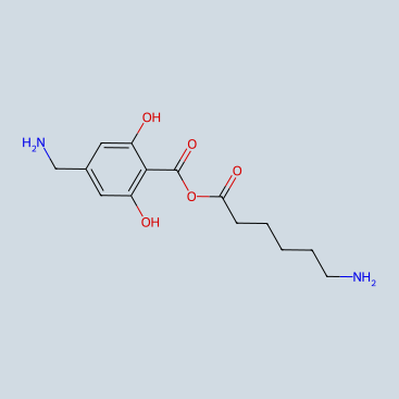 NCCCCCC(=O)OC(=O)c1c(O)cc(CN)cc1O